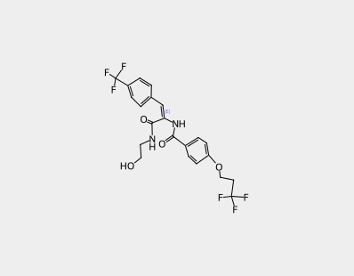 O=C(NCCO)/C(=C\c1ccc(C(F)(F)F)cc1)NC(=O)c1ccc(OCCC(F)(F)F)cc1